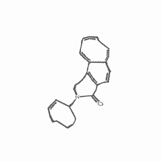 O=C1c2ccc3ccccc3c2CN1C1C=CCCC1